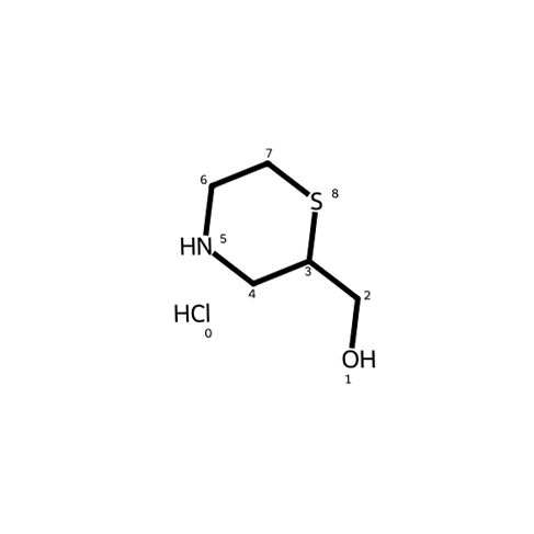 Cl.OCC1CNCCS1